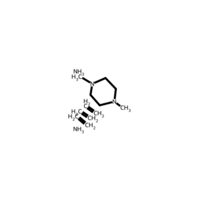 C=C.C=C.C=C.CN1CCN(C)CC1.N.N